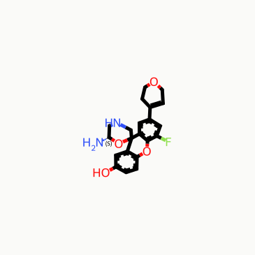 N[C@@H]1CNCC2(O1)c1cc(O)ccc1Oc1c(F)cc(C3=CCOCC3)cc12